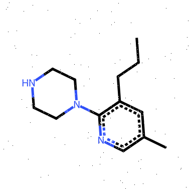 CCCc1cc(C)cnc1N1CCNCC1